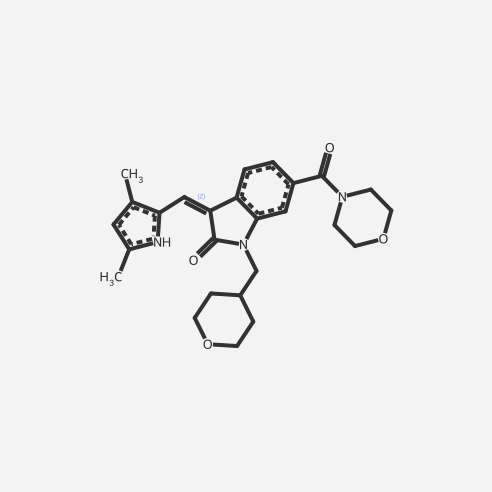 Cc1cc(C)c(/C=C2\C(=O)N(CC3CCOCC3)c3cc(C(=O)N4CCOCC4)ccc32)[nH]1